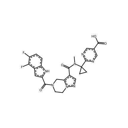 CN(C(=O)c1cnn2c1CN(C(=O)c1cc3c(F)c(F)ccc3[nH]1)CC2)C1(c2ncc(C(=O)O)cn2)CC1